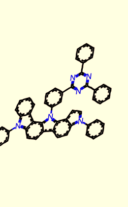 c1ccc(-c2nc(-c3ccccc3)nc(-c3cccc(-n4c5c(ccc6c5ccn6-c5ccccc5)c5ccc6c(c7ccccc7n6-c6ccccc6)c54)c3)n2)cc1